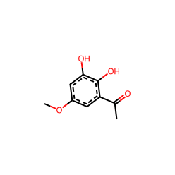 COc1cc(O)c(O)c(C(C)=O)c1